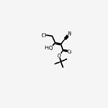 CC(C)(C)OC(=O)C(C#N)=C(O)CCl